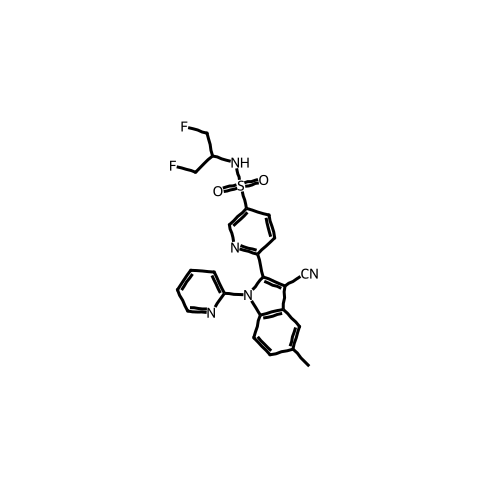 Cc1ccc2c(c1)c(C#N)c(-c1ccc(S(=O)(=O)NC(CF)CF)cn1)n2-c1ccccn1